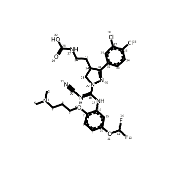 CN(C)CCCOc1ccc(OC(F)F)cc1NC(=NC#N)N1CC(CCNC(=O)O)C(c2ccc(Cl)c(Cl)c2)=N1